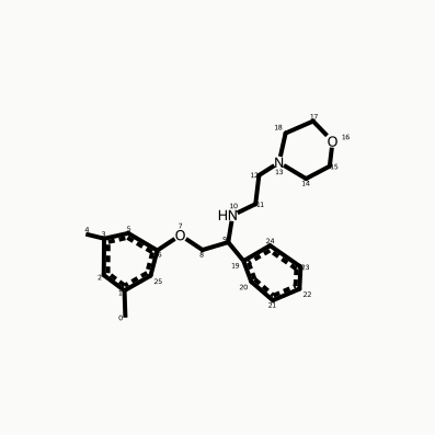 Cc1cc(C)cc(OCC(NCCN2CCOCC2)c2ccccc2)c1